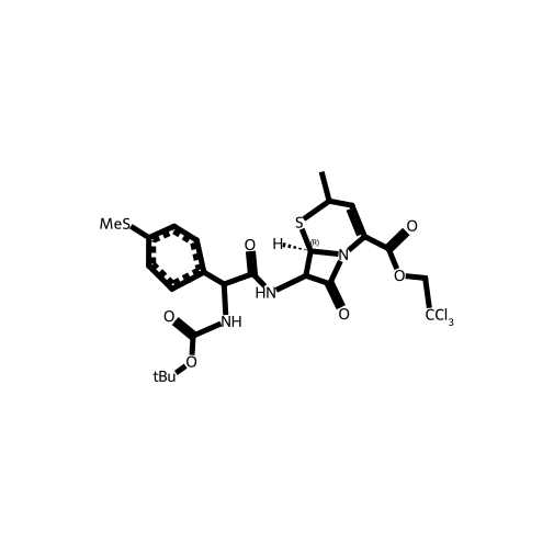 CSc1ccc(C(NC(=O)OC(C)(C)C)C(=O)NC2C(=O)N3C(C(=O)OCC(Cl)(Cl)Cl)=CC(C)S[C@H]23)cc1